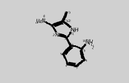 CNc1nc(-c2ccccc2N)[nH]c1C